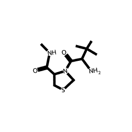 CNC(=O)C1CSCN1C(=O)C(N)C(C)(C)C